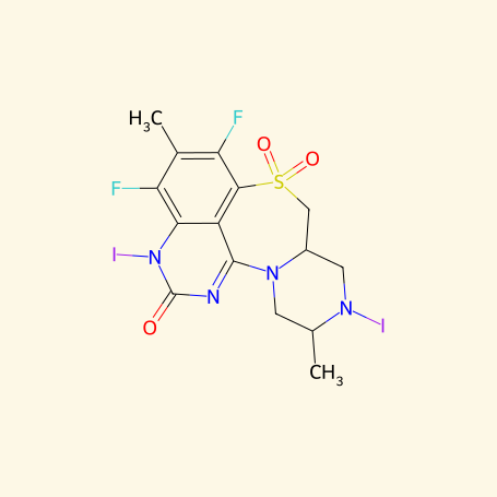 Cc1c(F)c2c3c(nc(=O)n(I)c3c1F)N1CC(C)N(I)CC1CS2(=O)=O